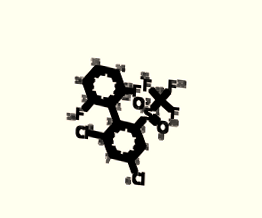 O=S(=O)(c1cc(Cl)[c]c(Cl)c1-c1c(F)cccc1F)C(F)(F)F